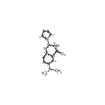 CN(C)c1ccc2nc(-n3cccc3)[nH]c(=O)c2c1